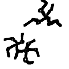 CCO[Si](CC)(OCC)OCC.CO[Si](OC)(OC)C(C)[Si](OC)(OC)OC